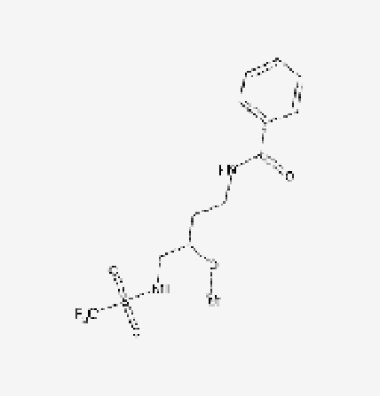 CCOC(CCNC(=O)c1ccccc1)CNS(=O)(=O)C(F)(F)F